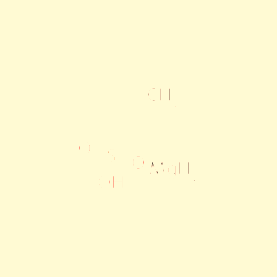 [CH2]CCS(=O)(=O)O.[MgH2]